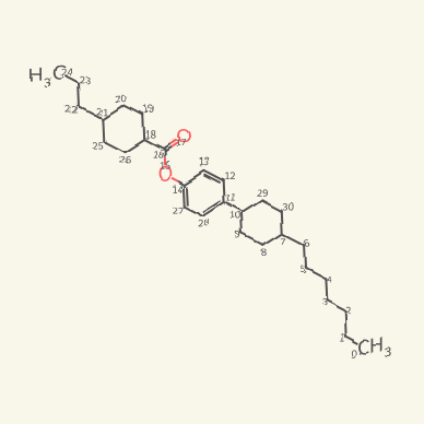 CCCCCCCC1CCC(c2ccc(OC(=O)C3CCC(CCC)CC3)cc2)CC1